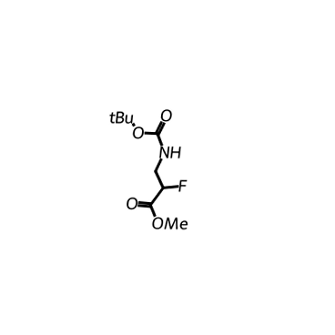 COC(=O)C(F)CNC(=O)OC(C)(C)C